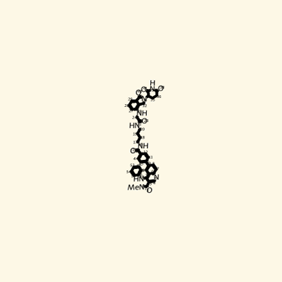 CNC(=O)c1cnc2ccc(-c3ccc(C(=O)NCCCCNC(=O)CNc4cccc5c4CN(C4CCC(=O)NC4=O)C5=O)cc3)cc2c1Nc1ccccc1